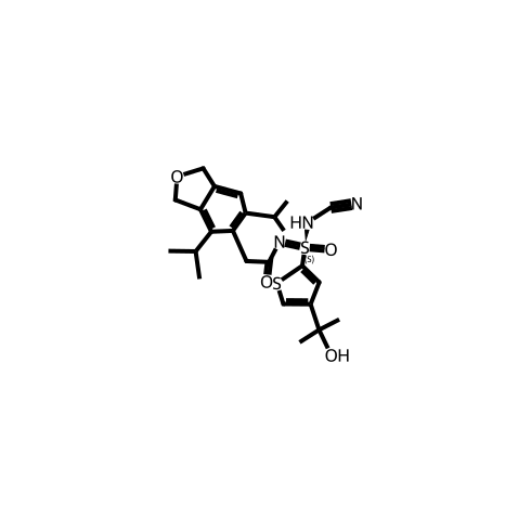 CC(C)c1cc2c(c(C(C)C)c1CC(=O)N=[S@@](=O)(NC#N)c1cc(C(C)(C)O)cs1)COC2